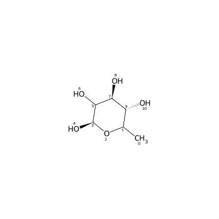 CC1O[C@@H](O)C(O)[C@@H](O)[C@@H]1O